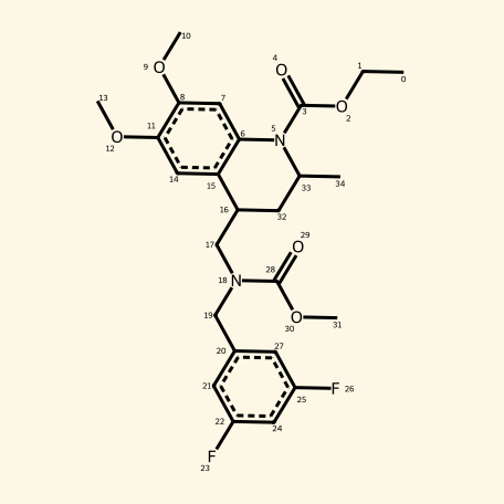 CCOC(=O)N1c2cc(OC)c(OC)cc2C(CN(Cc2cc(F)cc(F)c2)C(=O)OC)CC1C